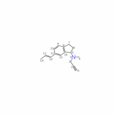 C#CCN(C)C1CCc2ccc(/C=C/C)cc21